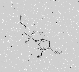 CC(C)(C)[C@@]12C[C@H](CN1C(=O)O)N(S(=O)(=O)CCCCl)C2